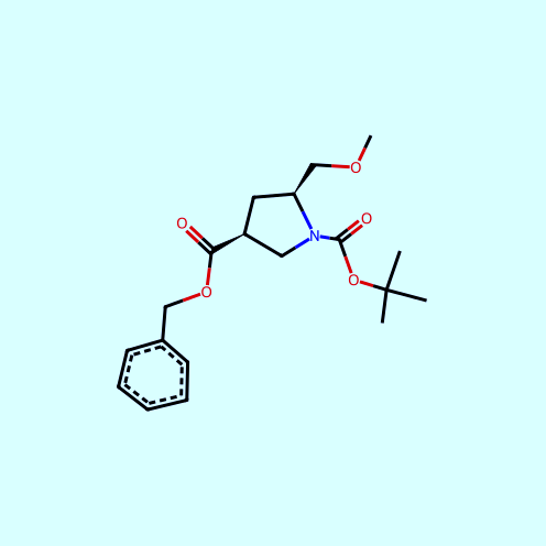 COC[C@@H]1C[C@H](C(=O)OCc2ccccc2)CN1C(=O)OC(C)(C)C